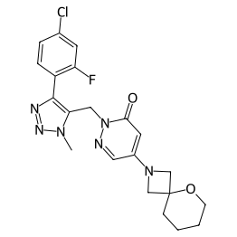 Cn1nnc(-c2ccc(Cl)cc2F)c1Cn1ncc(N2CC3(CCCCO3)C2)cc1=O